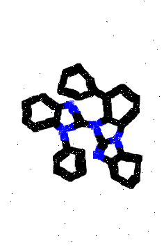 c1ccc(-c2cccc3c2n(-c2nc4ccccc4n2-c2ccccc2)c2nc4ccccc4n32)cc1